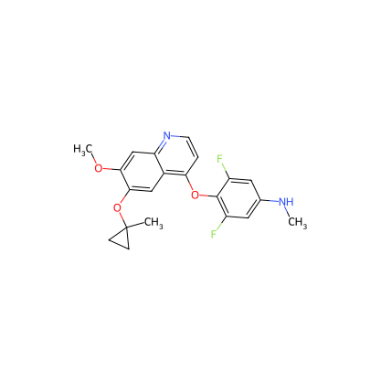 CNc1cc(F)c(Oc2ccnc3cc(OC)c(OC4(C)CC4)cc23)c(F)c1